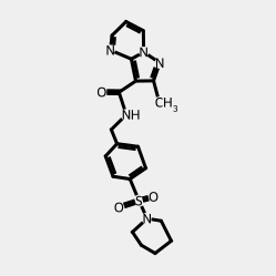 Cc1nn2cccnc2c1C(=O)NCc1ccc(S(=O)(=O)N2CCCCC2)cc1